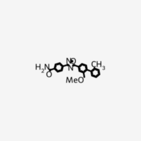 COCc1cc(-c2nc(-c3ccc(C(N)=O)cc3)no2)ccc1-c1ccccc1C